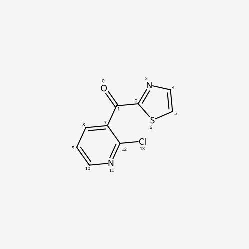 O=C(c1nccs1)c1cccnc1Cl